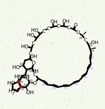 C[C@H]1C[C@H](O)[C@@H](C)/C=C/C=C/C=C/C=C/C=C/C=C/C=C/C(O[C@@H]2OC[C@@H](O)[C@H](N)[C@@H]2O)C[C@@H]2OC(O)(CC(O)CC(O)C(O)CCC(O)CC(O)CC(=O)O1)C[C@H](O)C2C(=O)NC1CCCC1